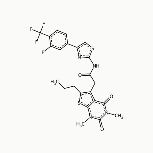 CCCc1sc2c(c1CC(=O)Nc1nc(-c3ccc(C(F)(F)F)c(F)c3)cs1)c(=O)n(C)c(=O)n2C